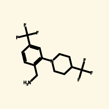 NCc1ccc(C(F)(F)F)cc1N1CCC(C(F)(F)F)CC1